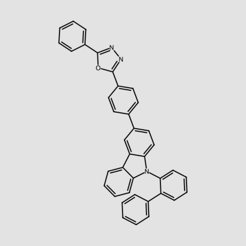 c1ccc(-c2nnc(-c3ccc(-c4ccc5c(c4)c4ccccc4n5-c4ccccc4-c4ccccc4)cc3)o2)cc1